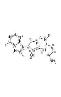 Cc1ncnc2c1nc(C)n2[C@@H]1O[C@H](CN(C)C/C=C\CN)[C@@H](O)[C@H]1O